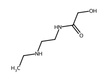 CCNCCNC(=O)CO